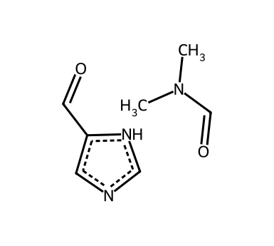 CN(C)C=O.O=Cc1cnc[nH]1